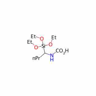 CCCC(NC(=O)O)[Si](OCC)(OCC)OCC